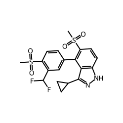 CS(=O)(=O)c1ccc(-c2c(S(C)(=O)=O)ccc3[nH]nc(C4CC4)c23)cc1C(F)F